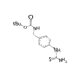 CC(C)(C)OC(=O)NCc1ccc(NC(N)=S)cc1